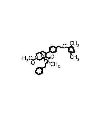 CC(=O)N1CC2CC(c3ccc(CCOc4cc(C)ccc4C)cc3)=C(C(=O)N(C)CCc3ccccc3)[C@@H](C1)N2